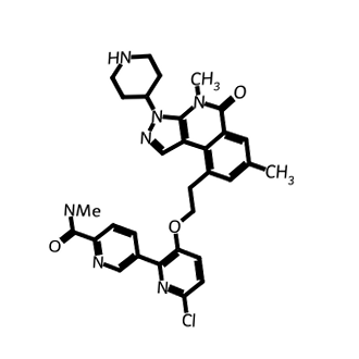 CNC(=O)c1ccc(-c2nc(Cl)ccc2OCCc2cc(C)cc3c(=O)n(C)c4c(cnn4C4CCNCC4)c23)cn1